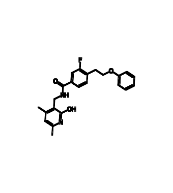 Cc1cc(C)c(CNC(=O)c2ccc(CCOc3ccccc3)c(F)c2)c(O)n1